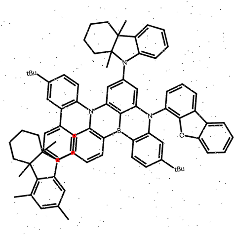 Cc1cc(C)c2c(c1)N(c1ccc3c(c1)N(c1ccc(C(C)(C)C)cc1-c1ccccc1)c1cc(N4c5ccccc5C5(C)CCCCC45C)cc4c1B3c1ccc(C(C)(C)C)cc1N4c1cccc3c1oc1ccccc13)C1(C)CCCCC21C